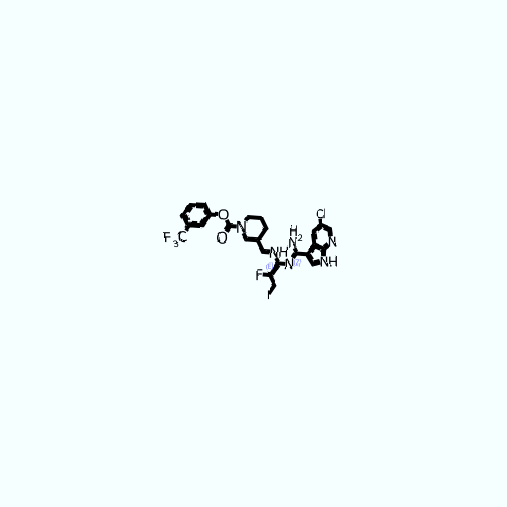 N/C(=N\C(NCC1CCCN(C(=O)Oc2cccc(C(F)(F)F)c2)C1)=C(\F)CI)c1c[nH]c2ncc(Cl)cc12